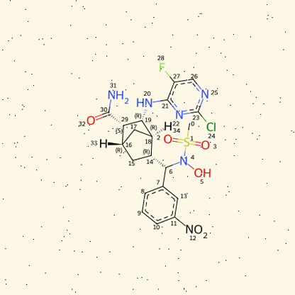 CS(=O)(=O)N(O)C(c1cccc([N+](=O)[O-])c1)[C@@H]1C[C@H]2C[C@H]1[C@@H](Nc1nc(Cl)ncc1F)[C@H]2C(N)=O